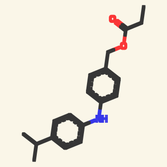 CCC(=O)OCc1ccc(Nc2ccc(C(C)C)cc2)cc1